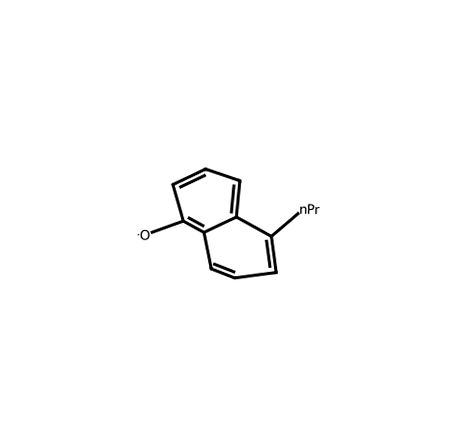 CCCc1cccc2c([O])cccc12